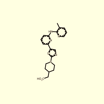 Cc1cccnc1Nc1cccc(-c2cnc(N3CCC(CC(=O)O)CC3)s2)n1